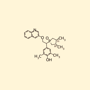 Cc1cc(C(COc2cnc3ccccc3c2)P2(=O)C[C@@H](C)[C@@H](C)C2)cc(C)c1O